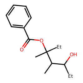 CCC(O)C(C)C(C)(CC)OC(=O)c1ccccc1